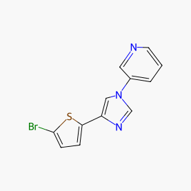 Brc1ccc(-c2cn(-c3cccnc3)cn2)s1